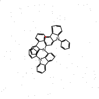 c1ccc(-c2ccccc2N(c2ccc3c4ccccc4n(-c4ccccc4)c3c2)c2cccc3c4ccccc4n(-c4ccccc4)c23)cc1